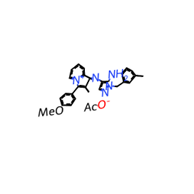 CC(=O)[O-].COc1ccc(C2=C(C)/C(=N\c3cnn(Cc4cccc(C)c4)c3N)c3cccc[n+]32)cc1